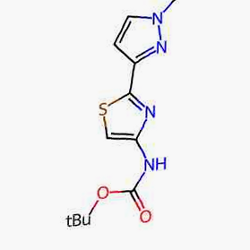 Cn1ccc(-c2nc(NC(=O)OC(C)(C)C)cs2)n1